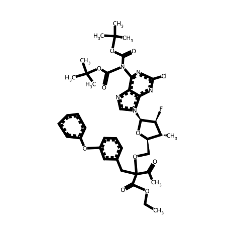 CCOC(=O)C(Cc1cccc(Oc2ccccc2)c1)(OC[C@H]1O[C@@H](n2cnc3c(N(C(=O)OC(C)(C)C)C(=O)OC(C)(C)C)nc(Cl)nc32)[C@@H](F)[C@@H]1C)C(C)=O